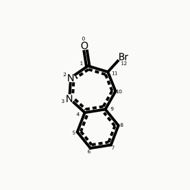 O=c1nnc2ccccc2cc1Br